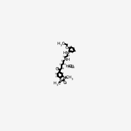 CCOc1ccccc1NCCNCCCCC(=O)c1ccc2c(c1)n(C)c(=O)n2C.Cl.Cl